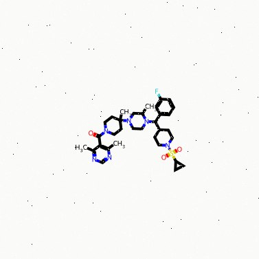 Cc1ncnc(C)c1C(=O)N1CCC(C)(N2CCN(C(c3cccc(F)c3)C3CCN(S(=O)(=O)C4CC4)CC3)C(C)C2)CC1